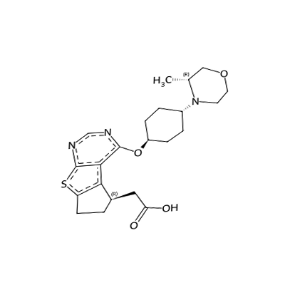 C[C@@H]1COCCN1[C@H]1CC[C@H](Oc2ncnc3sc4c(c23)[C@@H](CC(=O)O)CC4)CC1